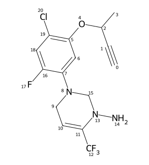 C#CC(C)Oc1cc(N2CC=C(C(F)(F)F)N(N)C2)c(F)cc1Cl